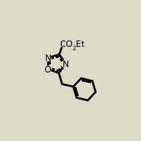 CCOC(=O)c1noc(CC2=CCCC=C2)n1